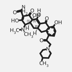 CC1CCN(CC(=O)c2ccc(O)c3c2C[C@H]2C[C@H]4C(N(C)C)C(O)=C(C(N)=O)C(=O)[C@@]4(O)C(O)=C2C3=O)CC1